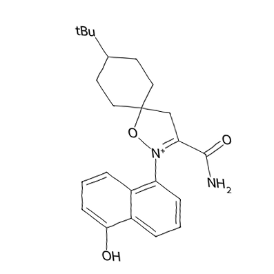 CC(C)(C)C1CCC2(CC1)CC(C(N)=O)=[N+](c1cccc3c(O)cccc13)O2